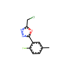 Cc1ccc(F)c(-c2nnc(CCl)o2)c1